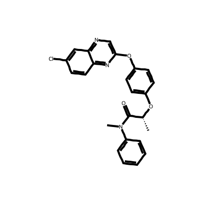 C[C@@H](Oc1ccc(Oc2cnc3cc(Cl)ccc3n2)cc1)C(=O)N(C)c1ccccc1